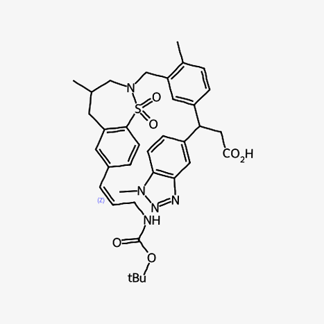 Cc1ccc(C(CC(=O)O)c2ccc3c(c2)nnn3C)cc1CN1CC(C)Cc2cc(/C=C\CNC(=O)OC(C)(C)C)ccc2S1(=O)=O